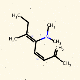 C=C(C)/C=C\C(=C(/C)CC)N(C)C